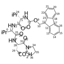 CC(C)C(NC(=O)[C@@H](NC(=O)OCC1c2ccccc2-c2ccccc21)C(C)C)C(=O)N[C@@H](CC(=O)O)C(=O)N1CCCC1